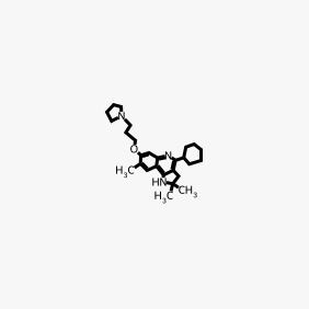 Cc1cc2c3c(c(C4CCCCC4)nc2cc1OCCCN1CCCC1)CC(C)(C)N3